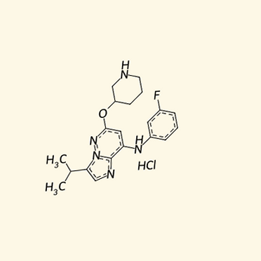 CC(C)c1cnc2c(Nc3cccc(F)c3)cc(OC3CCCNC3)nn12.Cl